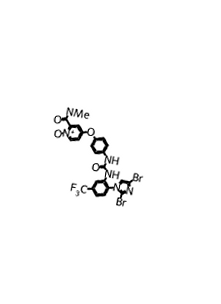 CNC(=O)c1cc(Oc2ccc(NC(=O)Nc3cc(C(F)(F)F)ccc3-n3cc(Br)nc3Br)cc2)cc[n+]1[O-]